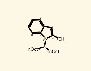 CCCCCCC[CH2][Al]([CH2]CCCCCCC)[n]1c(C)cc2ccccc21